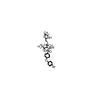 CN1CNC(CSC(C)(C)[C@H](C(N)=O)N(O)S(=O)(=O)c2ccc(Oc3ccc(Br)cc3)cc2)=N1